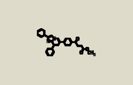 COC(=O)C=CC(=O)c1ccc(-c2cc(-c3ccccc3)c3nc(-c4ccccc4)cn3c2)cc1